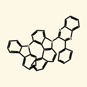 c1ccc(-c2nc3ccccc3nc2-n2c3cccc(-n4c5ccccc5c5ccccc54)c3c3c4ccccc4ccc32)cc1